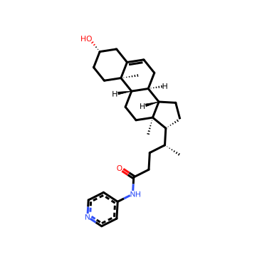 C[C@H](CCC(=O)Nc1ccncc1)[C@H]1CC[C@H]2[C@@H]3CC=C4C[C@@H](O)CC[C@]4(C)[C@H]3CC[C@]12C